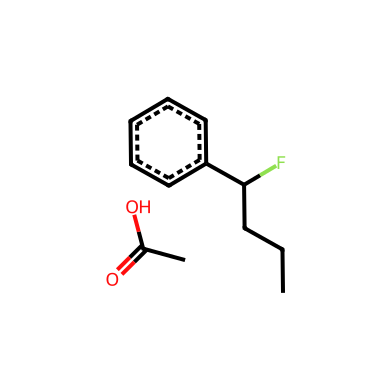 CC(=O)O.CCCC(F)c1ccccc1